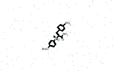 COc1ccc(S(=O)(=O)/C(=C/c2ccc([N+](=O)[O-])cc2)C(N)=O)cc1